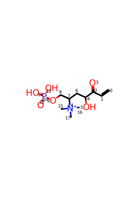 C=CC(=O)C(O)CC(COP(=O)(O)O)[N+](C)(C)C